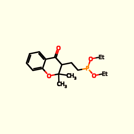 CCOP(CCC1C(=O)c2ccccc2OC1(C)C)OCC